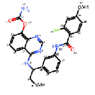 CNCC(Nc1ncnc2c(OC(N)=O)cccc12)c1cccc(NC(=O)c2ccc(OC)cc2F)c1